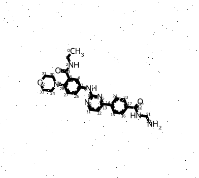 CCNC(=O)c1cc(Nc2nccc(-c3ccc(C(=O)NCN)cc3)n2)ccc1N1CCOCC1